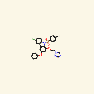 Cc1ccc(S(=O)(=O)n2c3ccc(F)cc3c3cc(Oc4ccccc4)cc(OCCn4cncn4)c32)cc1